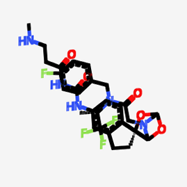 CNCCC(=O)NC(=O)Nc1ccc2c(c1)CC[C@@]21OC2OC1N2CC(=O)N(Cc1ccc(F)cc1)[C@@H](C)C(F)(F)F